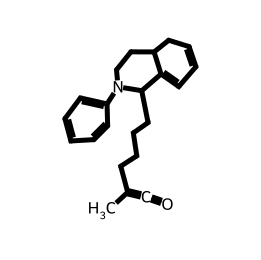 CC(=C=O)CCCCC1C2=CC=CCC2CCN1c1ccccc1